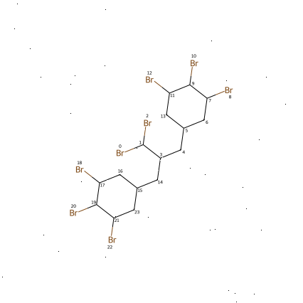 BrC(Br)C(CC1CC(Br)C(Br)C(Br)C1)CC1CC(Br)C(Br)C(Br)C1